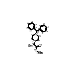 [CH2]C[C@H](C(=O)OC(C)(C)C)N1CCN(C(c2ccccc2)c2ccccc2)CC1